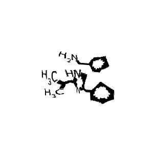 CC(C)c1nc(-c2ccccc2)c[nH]1.NCc1ccccc1